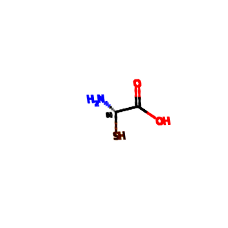 N[C@@H](S)C(=O)O